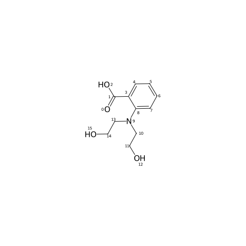 O=C(O)c1ccccc1N(CCO)CCO